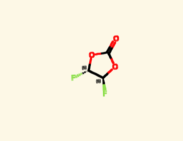 O=C1O[C@@H](F)[C@H](F)O1